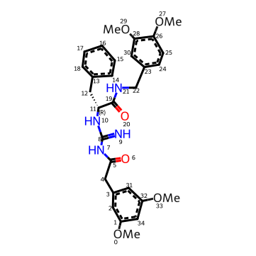 COc1cc(CC(=O)NC(=N)N[C@H](Cc2ccccc2)C(=O)NCc2ccc(OC)c(OC)c2)cc(OC)c1